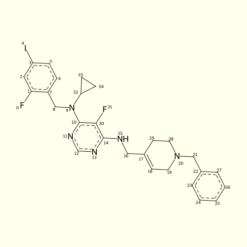 Fc1cc(I)ccc1CN(c1ncnc(NCC2=CCN(Cc3ccccc3)CC2)c1F)C1CC1